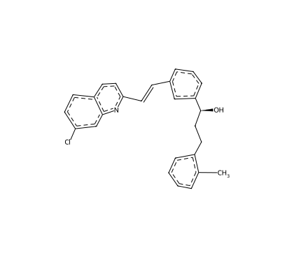 Cc1ccccc1CC[C@H](O)c1cccc(/C=C/c2ccc3ccc(Cl)cc3n2)c1